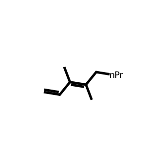 C=C/C(C)=C(\C)CCCC